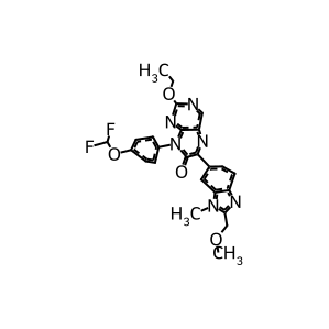 CCOc1ncc2nc(-c3ccc4nc(COC)n(C)c4c3)c(=O)n(-c3ccc(OC(F)F)cc3)c2n1